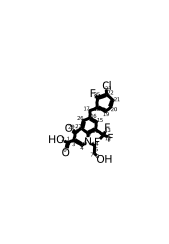 O=C(O)c1cn(CCO)c2c(C(F)(F)F)cc(Cc3cccc(Cl)c3F)cc2c1=O